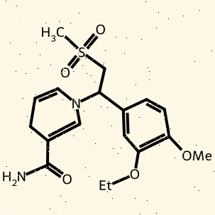 CCOc1cc(C(CS(C)(=O)=O)N2C=CCC(C(N)=O)=C2)ccc1OC